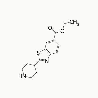 CCOC(=O)c1ccc2nc(C3CCNCC3)sc2c1